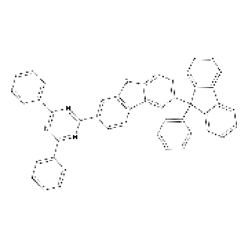 c1ccc(-c2nc(-c3ccccc3)nc(-c3ccc4c(c3)sc3ccc(C5(c6ccccc6)c6ccccc6-c6ccccc65)cc34)n2)cc1